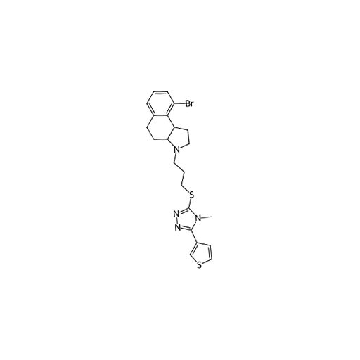 Cn1c(SCCCN2CCC3c4c(Br)cccc4CCC32)nnc1-c1ccsc1